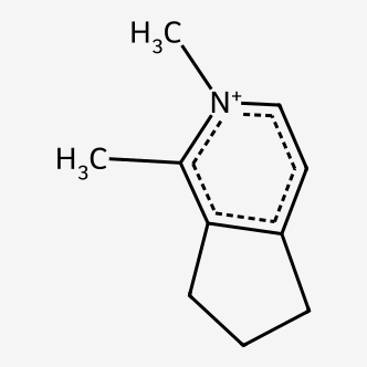 Cc1c2c(cc[n+]1C)CCC2